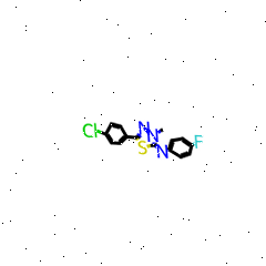 Cn1nc(-c2ccc(Cl)cc2)s/c1=N/c1ccc(F)cc1